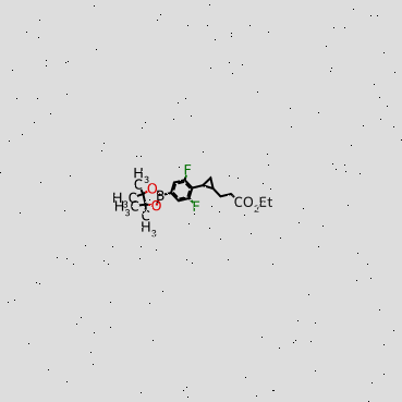 CCOC(=O)CCC1CC1c1c(F)cc(B2OC(C)(C)C(C)(C)O2)cc1F